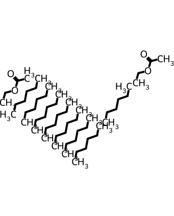 CCCCCC.CCCCCC.CCCCCC.CCCCCC.CCCCCC.CCCCCC.CCCCCC.CCCCCC.CCOC(C)=O.CCOC(C)=O